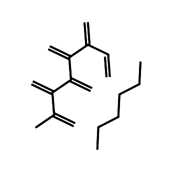 C=CC(=C)C(=C)C(=C)C(=C)C(=C)C.CCCCCC